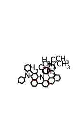 CC(C)(C)c1cc(-c2cccc3cccc(-c4ccccc4N(c4ccc5c(c4)c4ccccc4n5-c4ccccc4)c4ccccc4-c4ccccc4)c23)cc(C(C)(C)C)c1